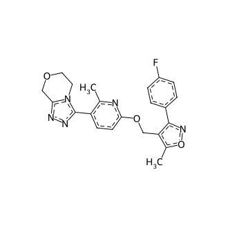 Cc1nc(OCc2c(-c3ccc(F)cc3)noc2C)ccc1-c1nnc2n1CCOC2